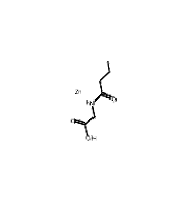 CCCC(=O)NCC(=O)O.[Zn]